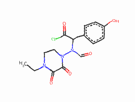 CCN1CCN(N(C=O)C(C(=O)Cl)c2ccc(O)cc2)C(=O)C1=O